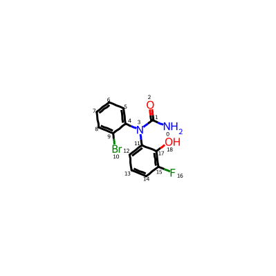 NC(=O)N(c1ccccc1Br)c1cccc(F)c1O